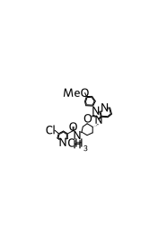 COc1ccc(-n2c(=O)n(C[C@H]3CC[C@H](NC(=O)c4cc(Cl)cnc4C)CC3)c3cccnc32)cc1